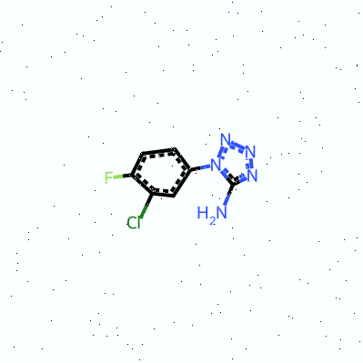 Nc1nnnn1-c1ccc(F)c(Cl)c1